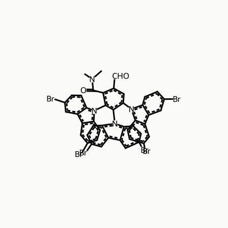 CN(C)C(=O)c1c(C=O)cc(-n2c3ccc(Br)cc3c3cc(Br)ccc32)c(-n2c3ccc(Br)cc3c3cc(Br)ccc32)c1-n1c2ccc(Br)cc2c2cc(Br)ccc21